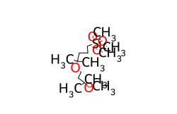 COC(C)(C)CCOC(C)(C)CCC[Si](OC)(OC)OC